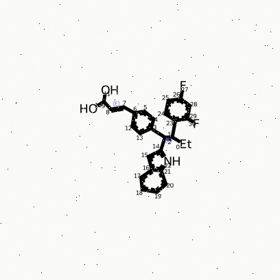 CC/C(=C(/c1ccc(/C=C/C(O)O)cc1)c1cc2ccccc2[nH]1)c1ccc(F)cc1F